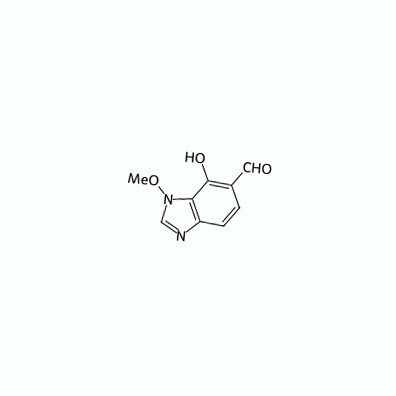 COn1cnc2ccc(C=O)c(O)c21